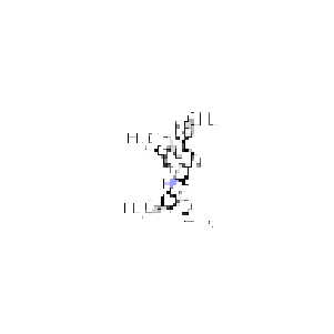 COc1cc(/N=C2\C=CC3N=CC(c4cnn(C)c4)=NC3N2Cc2cc(C)on2)c(F)c(OC)c1